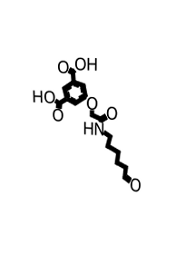 O=CCCCCCNC(=O)COc1cc(C(=O)O)cc(C(=O)O)c1